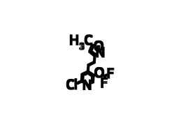 Cc1cc(CCc2cc(Cl)ncc2OC(F)F)no1